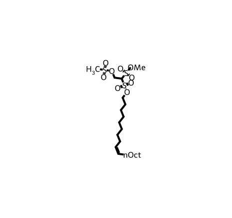 CCCCCCCC/C=C\CCCCCCCCOS(=O)(=O)C(COS(C)(=O)=O)S(=O)(=O)OC